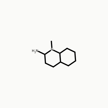 CN1C(N)CCC2CCCCC21